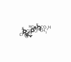 Cc1nc(N2CC(O)(c3ccc(OCc4c(-c5c(Cl)cc(F)cc5Cl)noc4C4CC4)cc3Cl)C2)c(F)cc1C(=O)O